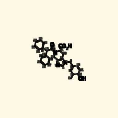 Cc1cc(Cn2cnc3c2C[C@@H](C(=O)O)N(C(=O)C(c2ccccc2)c2ccccc2)C3)ccc1O